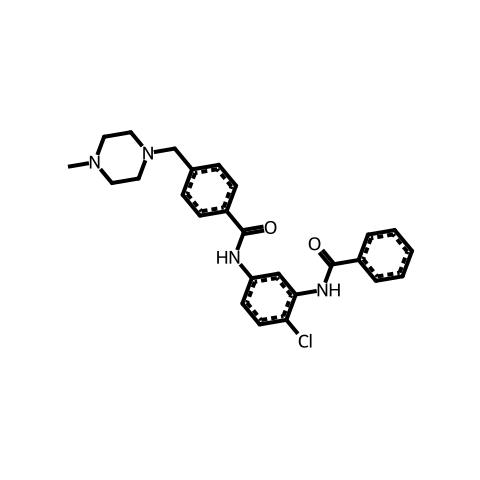 CN1CCN(Cc2ccc(C(=O)Nc3ccc(Cl)c(NC(=O)c4ccccc4)c3)cc2)CC1